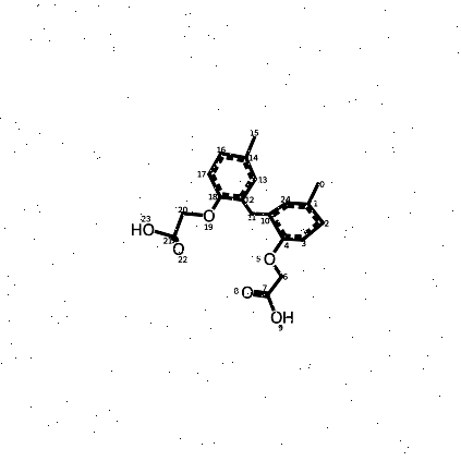 Cc1ccc(OCC(=O)O)c(Cc2cc(C)ccc2OCC(=O)O)c1